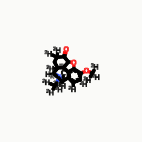 [2H]c1c([2H])c2c3c(c1OC([2H])([2H])[2H])OC1C(=O)C([2H])([2H])C[C@@]4([2H])[C@H](N(C([2H])([2H])[2H])CC[C@]314)C2([2H])[2H]